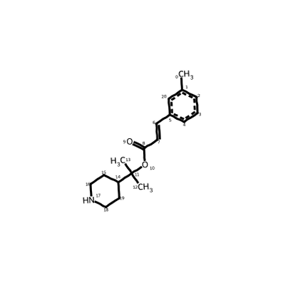 Cc1cccc(/C=C/C(=O)OC(C)(C)C2CCNCC2)c1